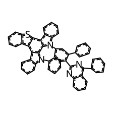 c1ccc(-c2cc(-n3c4ccccc4c4c5sc6ccccc6c5c5c6ccccc6n(-c6ccccc6)c5c43)ccc2-c2nc(-c3ccccc3)c3ccccc3n2)cc1